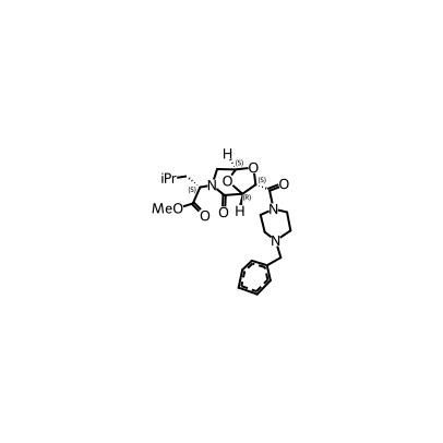 COC(=O)[C@H](CC(C)C)N1C[C@H]2O[C@H](C(=O)N3CCN(Cc4ccccc4)CC3)[C@@H](O2)C1=O